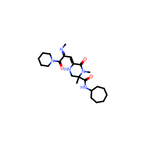 C/N=C(\C=C1/NCC(C)(C(=O)NC2CCCCCC2)N(C)C1=O)C(=O)N1CCCCC1